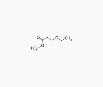 CCOCCC(=O)O[SiH3]